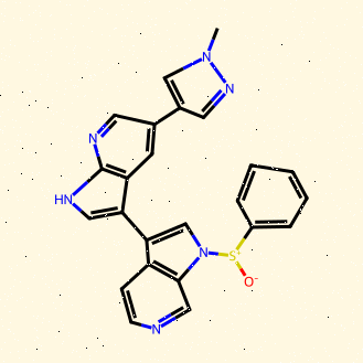 Cn1cc(-c2cnc3[nH]cc(-c4cn([S+]([O-])c5ccccc5)c5cnccc45)c3c2)cn1